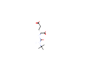 CC(C)(C)NC(O)N[C@@H](CCC(=O)O)C(=O)O